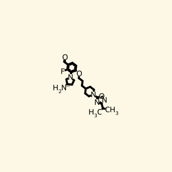 CC(C)c1noc(N2CCC(CCCOc3ccc(C=O)c(F)c3N3CC[C@H](N)C3)CC2)n1